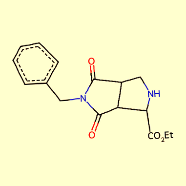 CCOC(=O)C1NCC2C(=O)N(Cc3ccccc3)C(=O)C21